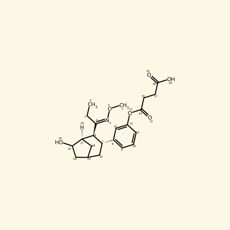 CCC(=NOC)[C@H]1[C@H](c2cc[c]c(OC(=O)CCC(=O)O)c2)CC2CC(O)[C@@H]1C2